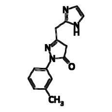 Cc1cccc(N2N=C(Cc3ncc[nH]3)CC2=O)c1